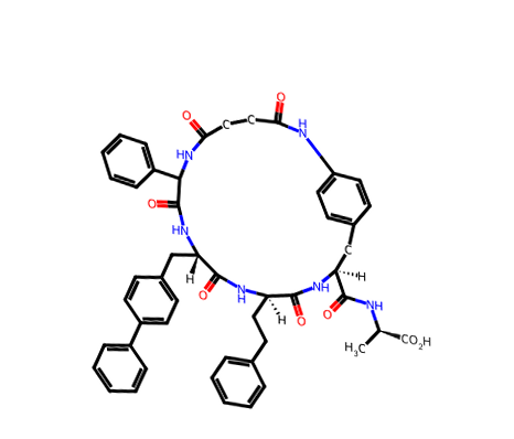 C[C@@H](NC(=O)[C@@H]1Cc2ccc(cc2)NC(=O)CCC(=O)NC(c2ccccc2)C(=O)N[C@@H](Cc2ccc(-c3ccccc3)cc2)C(=O)N[C@H](CCc2ccccc2)C(=O)N1)C(=O)O